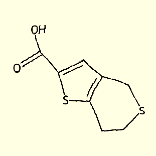 O=C(O)c1cc2c(s1)CCSC2